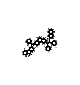 CC1(C)c2ccccc2-c2cc(N(c3ccccc3)c3ccc4c(ccc5cc6c(cc54)c(-c4ccccc4)c(-c4ccccc4)n6-c4ccc5ccccc5c4)c3)ccc21